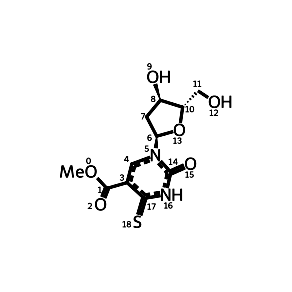 COC(=O)c1cn([C@H]2C[C@@H](O)[C@H](CO)O2)c(=O)[nH]c1=S